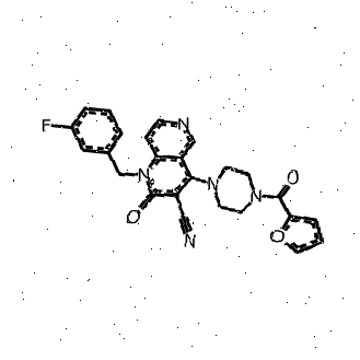 N#Cc1c(N2CCN(C(=O)c3ccco3)CC2)c2cnccc2n(Cc2cccc(F)c2)c1=O